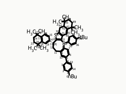 CCCCc1ccc(-c2ccc3c(c2)CC[C@H](c2ccc4c(c2)C(C)(C)CCC4(C)C)c2sc4c(c2B3c2ccc(C(C)(C)C)cc2)C=C2C(C4)C(C)(C)CCC2(C)C)cc1